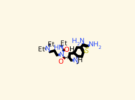 CCNC(=O)N(CCCN(CC)CC)C(=O)[C@@H]1C[C@@H]2Cc3c(sc(N)c3N)C[C@H]2N(C)C1